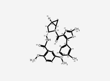 COc1ccc(OC)c(C(=O)NC[C@@H]2C[C@@H]3CC3N2C(=O)c2nc(C)sc2-c2cccc(C)c2)c1